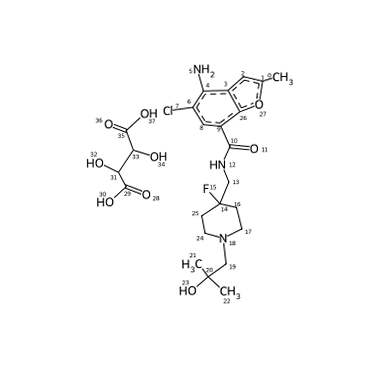 Cc1cc2c(N)c(Cl)cc(C(=O)NCC3(F)CCN(CC(C)(C)O)CC3)c2o1.O=C(O)C(O)C(O)C(=O)O